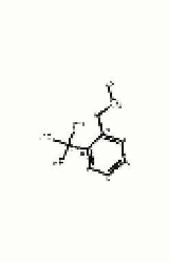 CO[CH]c1ccccc1C(F)(F)F